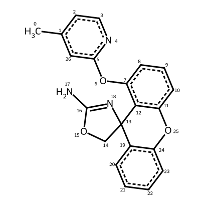 Cc1ccnc(Oc2cccc3c2C2(COC(N)=N2)c2ccccc2O3)c1